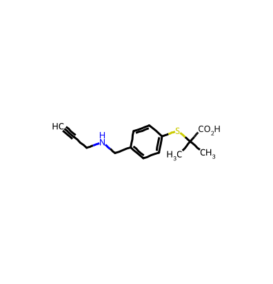 C#CCNCc1ccc(SC(C)(C)C(=O)O)cc1